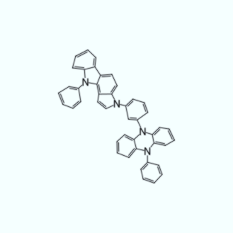 c1ccc(N2c3ccccc3N(c3cccc(-n4ccc5c4ccc4c6ccccc6n(-c6ccccc6)c45)c3)c3ccccc32)cc1